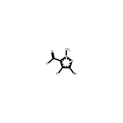 CC(C)c1nn(C)c(C(=O)Cl)c1Cl